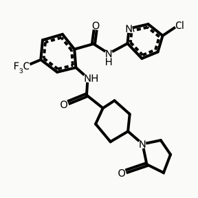 O=C(Nc1ccc(Cl)cn1)c1ccc(C(F)(F)F)cc1NC(=O)C1CCC(N2CCCC2=O)CC1